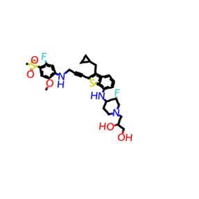 COc1cc(S(C)(=O)=O)c(F)cc1NCC#Cc1sc2c(NC3CCN(CC(O)CO)CC3F)cccc2c1CC1CC1